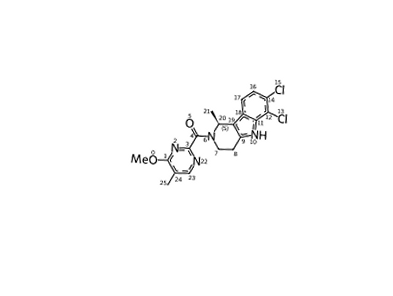 COc1nc(C(=O)N2CCc3[nH]c4c(Cl)c(Cl)ccc4c3[C@@H]2C)ncc1C